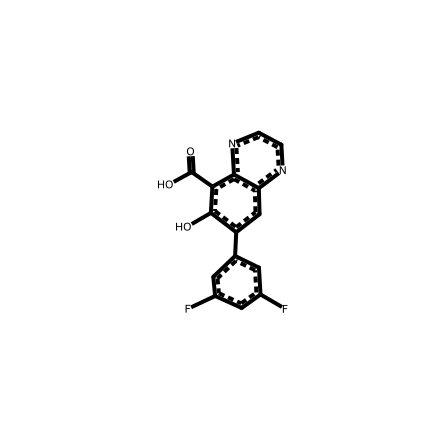 O=C(O)c1c(O)c(-c2cc(F)cc(F)c2)cc2nccnc12